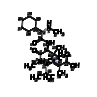 CN[C@H](C(=O)N[C@H](C(=O)N(C)[C@H](/C=C(\C)C(=O)O)C(C)C)C(C)(C)C)C1CCCCC1